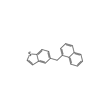 c1ccc2c(Cc3ccc4sccc4c3)cccc2c1